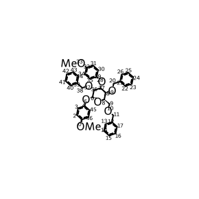 COc1ccc(O[C@H]2O[C@H](COCc3ccccc3)[C@H](OCc3ccccc3)[C@H](Oc3ccc(OC)cc3)[C@H]2OCc2ccccc2)cc1